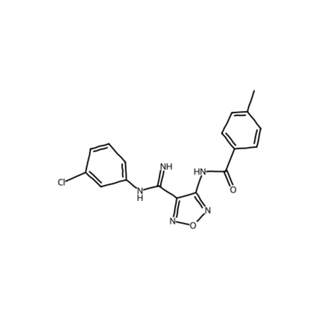 Cc1ccc(C(=O)Nc2nonc2C(=N)Nc2cccc(Cl)c2)cc1